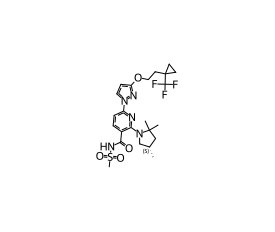 C[C@@H]1CN(c2nc(-n3ccc(OCCC4(C(F)(F)F)CC4)n3)ccc2C(=O)NS(C)(=O)=O)C(C)(C)C1